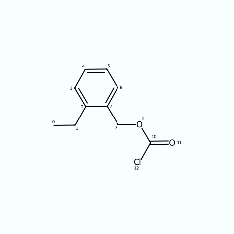 CCc1ccccc1COC(=O)Cl